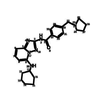 O=C(Nc1nc2cccc(NC3CCCCC3)n2n1)c1ccc(CN2CCCC2)cc1